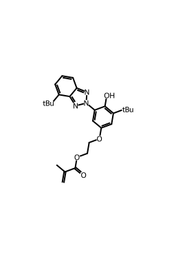 C=C(C)C(=O)OCCOc1cc(-n2nc3cccc(C(C)(C)C)c3n2)c(O)c(C(C)(C)C)c1